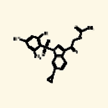 CC(=O)OCC(=O)c1cn(S(=O)(=O)c2c(C)cc(C)cc2C)c2cc(C3CC3)ccc12